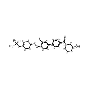 CC(C)(F)CN1CCC(COc2ccc(-c3ccc(C(=O)N4CCCC(O)C4)nc3)cc2F)CC1